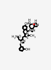 Cc1nc(Cc2ccc(O)cc2Cn2cnc(-c3cn[nH]c3)c2CC(C)O)c(Cc2ncn(Cc3cccc(O)c3)c2CC(N)=O)s1